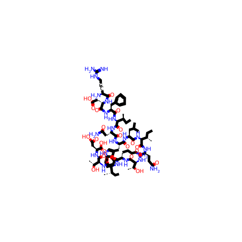 CC[C@H](C)[C@H](NC(=O)[C@H](Cc1ccccc1)NC(=O)[C@H](CC(=O)O)NC(=O)[C@@H](N)CCCNC(=N)N)C(=O)N[C@@H](CC(N)=O)C(=O)N[C@@H](Cc1c[nH]c2ccccc12)C(=O)N[C@@H](CC(C)C)C(=O)N[C@H](C(=O)N[C@@H](CCC(N)=O)C(=O)N[C@H](C(=O)N[C@@H](CCCCN)C(=O)N[C@H](C(=O)N[C@H](C(=O)N[C@@H](CC(=O)O)C(=O)O)[C@@H](C)O)[C@@H](C)CC)[C@@H](C)O)[C@@H](C)CC